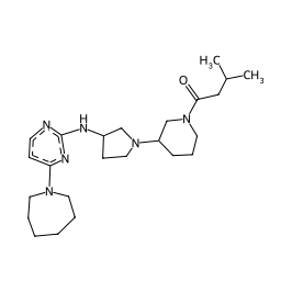 CC(C)CC(=O)N1CCCC(N2CCC(Nc3nccc(N4CCCCCC4)n3)C2)C1